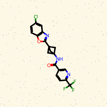 O=C(NC12CC(c3nc4cc(Cl)ccc4o3)(C1)C2)c1ccc(C(F)(F)F)nc1